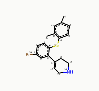 Cc1ccc(Sc2ccc(Br)cc2C2=CCNCC2)c(C)c1